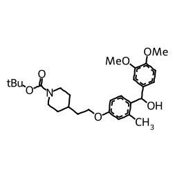 COc1ccc(C(O)c2ccc(OCCC3CCN(C(=O)OC(C)(C)C)CC3)cc2C)cc1OC